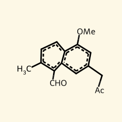 COc1cc(CC(C)=O)cc2c(C=O)c(C)ccc12